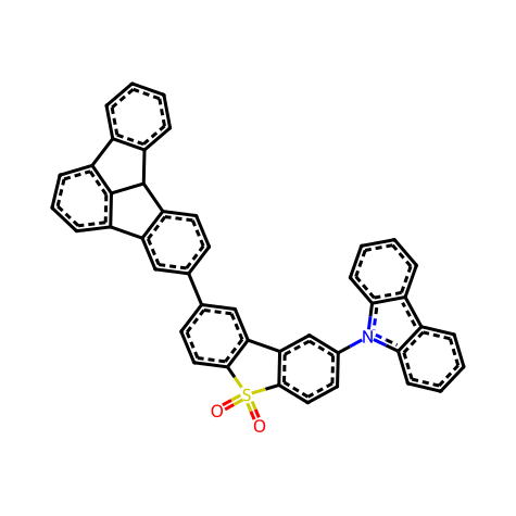 O=S1(=O)c2ccc(-c3ccc4c(c3)-c3cccc5c3C4c3ccccc3-5)cc2-c2cc(-n3c4ccccc4c4ccccc43)ccc21